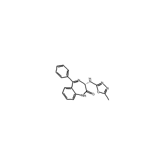 Cc1nnc(N[C@H]2N=C(c3ccccc3)c3ccccc3NC2=O)o1